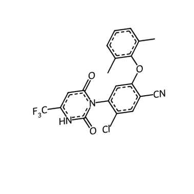 Cc1cccc(C)c1Oc1cc(-n2c(=O)cc(C(F)(F)F)[nH]c2=O)c(Cl)cc1C#N